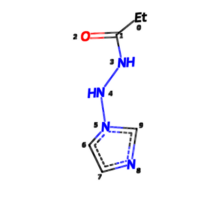 CCC(=O)NNn1ccnc1